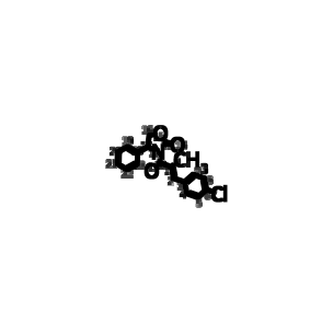 C/C(=C\c1ccc(Cl)cc1)C(=O)N1C(=O)OCC1c1ccccc1